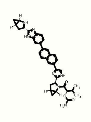 CC(C)[C@H](OC(N)=O)C(=O)N1[C@@H]2C[C@@H]2C[C@H]1c1nc(-c2ccc3cc(-c4ccc5nc([C@@H]6C[C@H]7C[C@H]7N6)[nH]c5c4)ccc3c2)c[nH]1